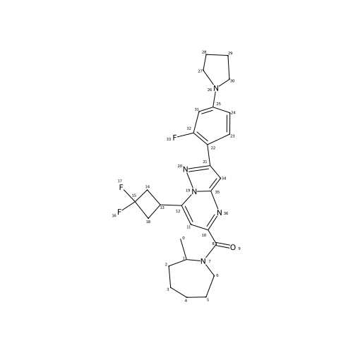 CC1CCCCCN1C(=O)c1cc(C2CC(F)(F)C2)n2nc(-c3ccc(N4CCCC4)cc3F)cc2n1